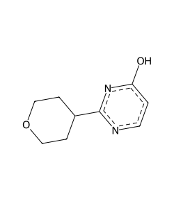 Oc1ccnc(C2CCOCC2)n1